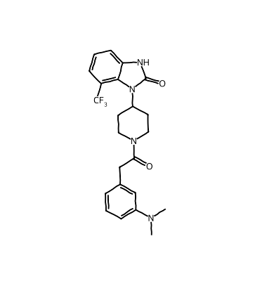 CN(C)c1cccc(CC(=O)N2CCC(n3c(=O)[nH]c4cccc(C(F)(F)F)c43)CC2)c1